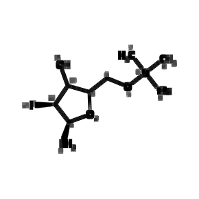 B[C@@H]1OC(CO[Si](C)(C)C(C)(C)C)C(O)[C@@H]1F